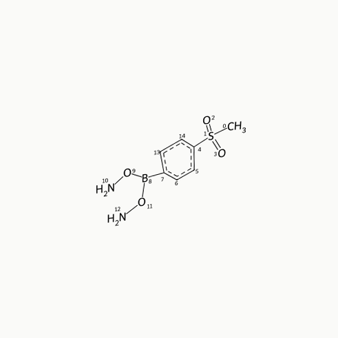 CS(=O)(=O)c1ccc(B(ON)ON)cc1